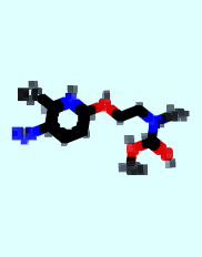 CCCN(CCOc1ccc(N)c(C)n1)C(=O)OC(C)(C)C